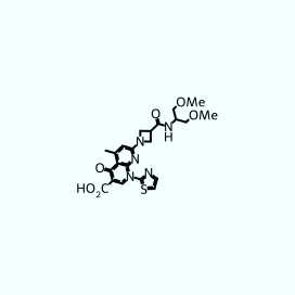 COCC(COC)NC(=O)C1CN(c2cc(C)c3c(=O)c(C(=O)O)cn(-c4nccs4)c3n2)C1